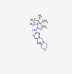 Cc1cnc(NC(=O)C2(C)C(C)(C)C2(C)C)cc1CN1CCOCC1